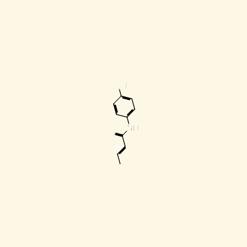 C/C=C/C(=O)Nc1ccc(O)cc1